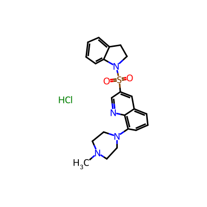 CN1CCN(c2cccc3cc(S(=O)(=O)N4CCc5ccccc54)cnc23)CC1.Cl